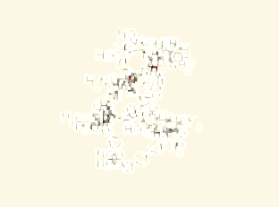 CC(C)C[C@H](C(=O)N[C@H]1C(=O)N[C@@H](CC(N)=O)C(=O)N[C@H]2C(=O)N[C@H]3C(=O)N[C@H](C(=O)N[C@H](C(=O)O)c4cc(O)ccc4-c4cc3ccc4C(O)O)[C@H](O[C@H]3C[C@](C)(N)[C@@H](O)[C@H](C)O3)c3ccc(c(Cl)c3)Oc3cc2cc(c3O[C@@H]2O[C@H](CO)[C@@H](O)[C@H](O)[C@H]2O[C@H]2C[C@](C)(NCc3ccc(-c4ccc(Cl)cc4)cc3)[C@@H](O)[C@H](C)O2)Oc2ccc(cc2Cl)[C@H]1O)N(C)C(=O)OCc1ccc(OP(=O)(O)O)cc1